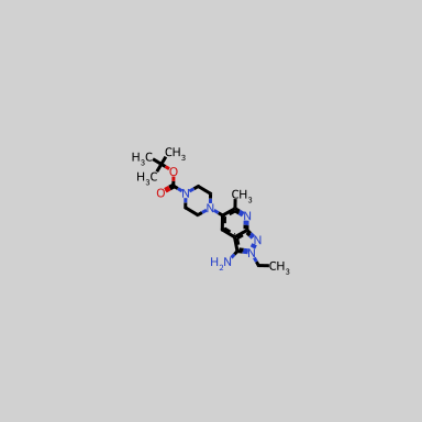 CCn1nc2nc(C)c(N3CCN(C(=O)OC(C)(C)C)CC3)cc2c1N